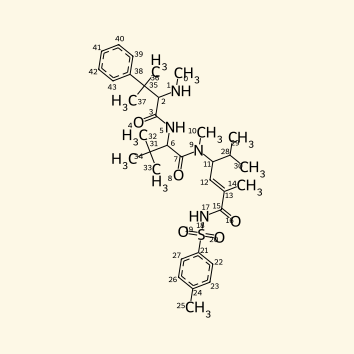 CNC(C(=O)NC(C(=O)N(C)C(C=C(C)C(=O)NS(=O)(=O)c1ccc(C)cc1)C(C)C)C(C)(C)C)C(C)(C)c1ccccc1